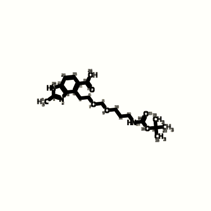 Cc1nc2c(CCOCOCCCNC(=O)OC(C)(C)C)c(C(=O)O)ccc2[nH]1